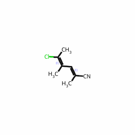 C/C(C#N)=C\C(C)=C(/C)Cl